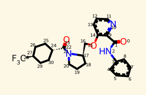 O=C(Nc1ccccc1)c1ncccc1OC[C@H]1CCCN1C(=O)[C@H]1CC[C@H](C(F)(F)F)CC1